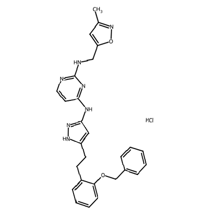 Cc1cc(CNc2nccc(Nc3cc(CCc4ccccc4OCc4ccccc4)[nH]n3)n2)on1.Cl